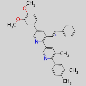 COc1ccc(-c2cnc(-c3cnc(-c4ccc(C)c(C)c4)c(C)c3)c(/C=C/c3ccccc3)c2)cc1OC